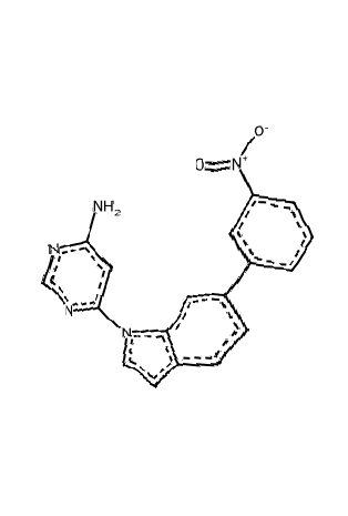 Nc1cc(-n2ccc3ccc(-c4cccc([N+](=O)[O-])c4)cc32)ncn1